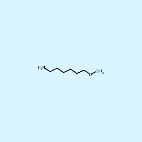 NCCCCCCO[SiH3]